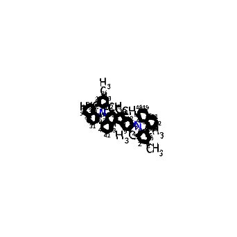 Cc1cc(C)c(N(c2ccc3c(c2)C(C)(C)c2cc(N(c4c(C)cc(C)cc4C)c4cccc5ccccc45)c4ccccc4c2-3)c2cccc3ccccc23)c(C)c1